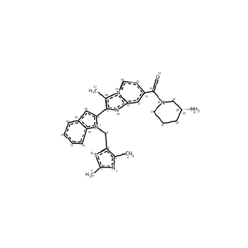 Cc1nc(C)c(Cn2c(-c3nc4cc(C(=O)N5CCC[C@@H](N)C5)ccn4c3C)cc3ccccc32)s1